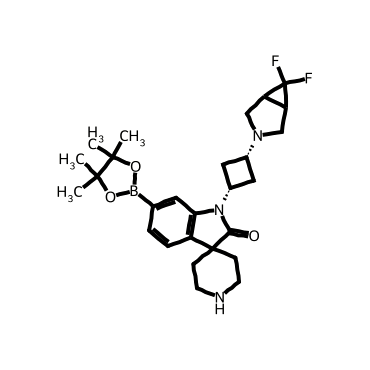 CC1(C)OB(c2ccc3c(c2)N([C@H]2C[C@@H](N4CC5C(C4)C5(F)F)C2)C(=O)C32CCNCC2)OC1(C)C